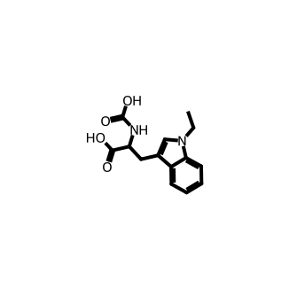 CCn1cc(CC(NC(=O)O)C(=O)O)c2ccccc21